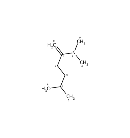 C=C(CCC(C)C)N(C)C